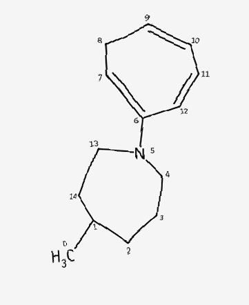 CC1CCCN(C2=CCC=CC=C2)CC1